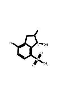 CS(=O)(=O)c1ccc(Br)c2c1[C@H](O)C(F)C2